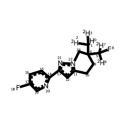 [2H]C([2H])([2H])C1(C([2H])([2H])F)CCc2cc(-c3ccc(F)cn3)nn2C1